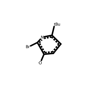 CC(C)(C)c1ccc([O])c(Br)n1